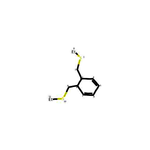 CCSC[C]1C=CC=CC1CSCC